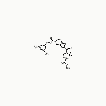 CC(C)(C)OC(=O)N1CCN(C(=O)c2cc3n(n2)CCN(C(=O)OCc2cc(C(F)(F)F)cc(C(F)(F)F)c2)C3)C(C)(C)C1